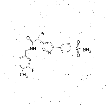 Cc1ccc(CNC(=O)C(C(C)C)n2cc(-c3ccc(S(N)(=O)=O)cc3)nn2)cc1F